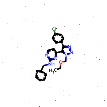 CCOCn1nnc(-c2ccc(Cl)cc2)c1-c1ccnc(NCc2ccccc2)n1